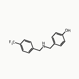 Oc1ccc(CNCc2ccc(C(F)(F)F)cc2)cc1